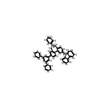 c1ccc(-c2cc(-c3ccccc3)cc(-c3ccc4c(c3)CN(c3ccccc3)Cc3ccc(-n5c6ccccc6c6ccccc65)cc3-4)c2)cc1